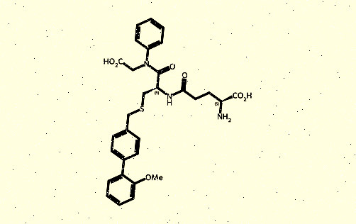 COc1ccccc1-c1ccc(CSC[C@H](NC(=O)CC[C@H](N)C(=O)O)C(=O)N(CC(=O)O)c2ccccc2)cc1